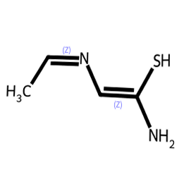 C/C=N\C=C(\N)S